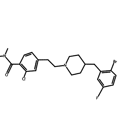 CN(C)C(=O)c1ccc(CCN2CCC(Cc3cc(F)ccc3Br)CC2)cc1Cl